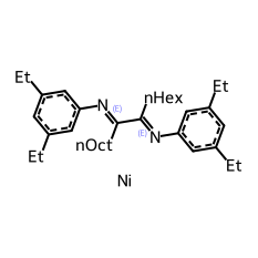 CCCCCCCCC(=N\c1cc(CC)cc(CC)c1)/C(CCCCCC)=N/c1cc(CC)cc(CC)c1.[Ni]